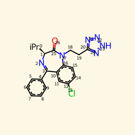 CC(C)[C@@H]1N=C(c2ccccc2)c2cc(Cl)ccc2N(CCc2nn[nH]n2)C1=O